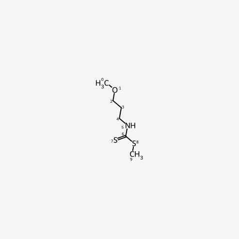 COCCCNC(=S)SC